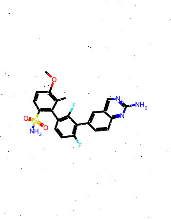 COc1ccc(S(N)(=O)=O)c(-c2ccc(F)c(-c3ccc4nc(N)ncc4c3)c2F)c1C